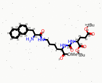 COC(=O)C(CCCCNC(=O)C(N)Cc1ccc2ccccc2c1)NC(=O)NC(CCC(=O)OC(C)(C)C)C(=O)OC(C)(C)C